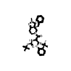 CN1N=C2CCN(C(=O)C(COc3ccccc3C(F)(F)F)NC(=O)OC(C)(C)C)C[C@@]2(Cc2ccccc2)C1=O